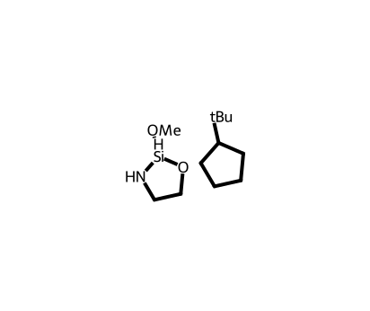 CC(C)(C)C1CCCC1.CO[SiH]1NCCO1